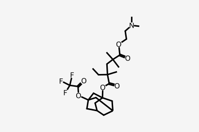 CCC(C)(CC(C)(C)C(=O)OCCN(C)C)C(=O)OC12CC3CC(CC(OC(=O)C(F)(F)F)(C3)C1)C2